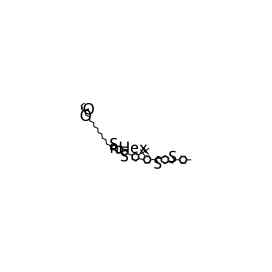 C/C=C\C(=O)OCCCCCCCCCCc1cc2cc3sc(-c4ccc5c(c4)C(C)(C(C)(C)CCCCCC)c4cc(-c6cc7cc8sc(-c9ccc(C)cc9)cc8cc7s6)ccc4-5)cc3cc2s1